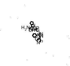 Cc1ccccc1-n1c(SCC(=O)Nc2sc3c(c2C(N)O)CCC3)nnc1-c1ccncc1